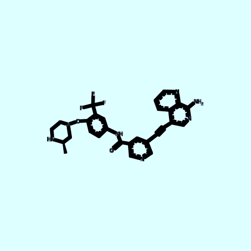 C[C@@H]1CN(Cc2ccc(NC(=O)c3cncc(C#Cc4cnc(N)c5ncccc45)c3)cc2C(F)(F)F)CCN1